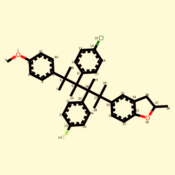 COc1ccc(C(C)(C)C(C)(c2ccc(Cl)cc2)C(C)(c2ccc(F)cc2)C(C)(C)c2ccc3c(c2)CC(C)O3)cc1